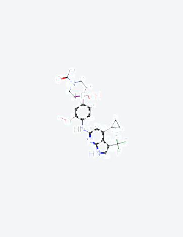 COc1cc([PH]2(O)CCN(C(C)=O)CC2)ccc1Nc1cc(C2CC2)c2c(C(F)(F)F)c[nH]c2n1